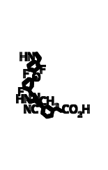 CC(C#N)(c1cccc(CCC(=O)O)c1)c1c[nH]c(-c2cc(Oc3c(F)cc4[nH]ccc4c3F)ccc2F)n1